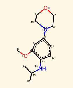 COc1cc(N2CCOCC2)ccc1NC(C)C